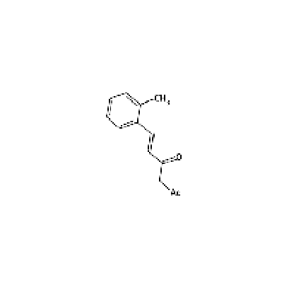 CC(=O)CC(=O)C=Cc1ccccc1C